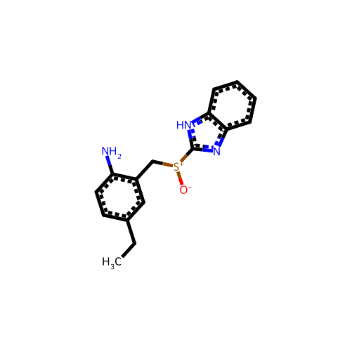 CCc1ccc(N)c(C[S+]([O-])c2nc3ccccc3[nH]2)c1